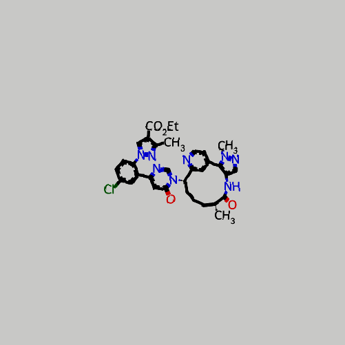 CCOC(=O)c1cn(-c2ccc(Cl)cc2-c2cc(=O)n([C@H]3CCC[C@@H](C)C(=O)Nc4cnn(C)c4-c4ccnc3c4)cn2)nc1C